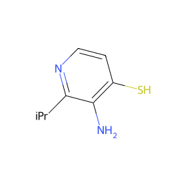 CC(C)c1nccc(S)c1N